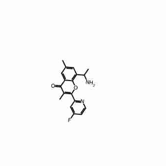 Cc1cc(C(C)N)c2oc(-c3cc(F)ccn3)c(C)c(=O)c2c1